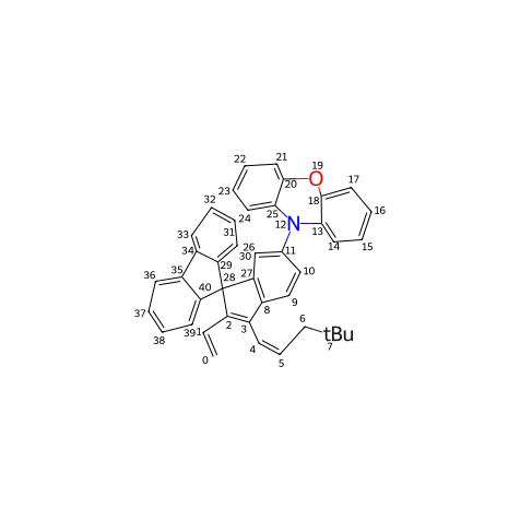 C=CC1=C(/C=C\CC(C)(C)C)c2ccc(N3c4ccccc4Oc4ccccc43)cc2C12c1ccccc1-c1ccccc12